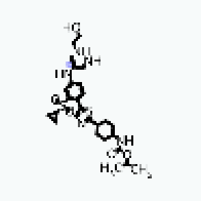 CC(C)OC(=O)NC1CCC(c2ncc(-c3ccc(N/C(C=N)=C/NCCO)cc3S(=O)(=O)C3CC3)s2)CC1